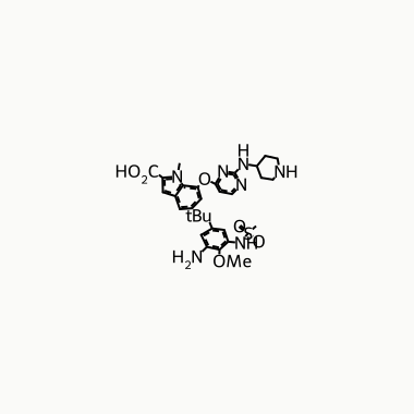 COc1c(N)cc(C(C)(C)C)cc1NS(C)(=O)=O.Cn1c(C(=O)O)cc2cccc(Oc3ccnc(NC4CCNCC4)n3)c21